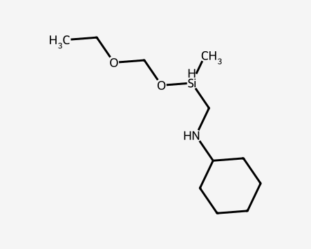 CCOCO[SiH](C)CNC1CCCCC1